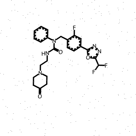 O=C1CCN(CCNC(=O)N(Cc2ccc(-c3nnc(C(F)F)o3)cc2F)c2ccccc2)CC1